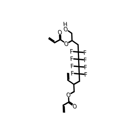 C=CC(=O)OCC(C=C)CC(F)(F)C(F)(F)C(F)(F)C(F)(F)CC(CO)OC(=O)C=C